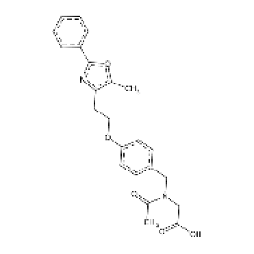 CC(=O)N(CC(=O)O)Cc1ccc(OCCc2nc(-c3ccccc3)oc2C)cc1